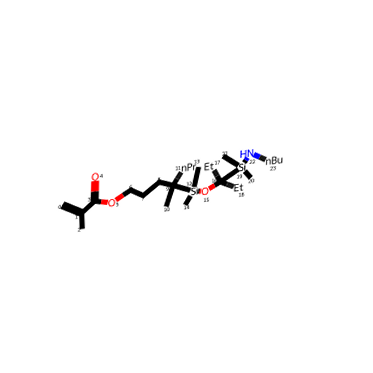 C=C(C)C(=O)OCCCC(C)(CCC)[Si](C)(C)OC(CC)(CC)[Si](C)(C)NCCCC